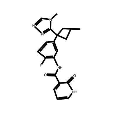 CC1CC(c2ccc(F)c(NC(=O)c3ccc[nH]c3=O)c2)(c2nncn2C)C1